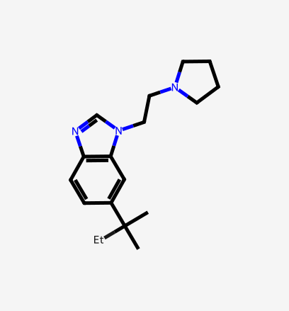 CCC(C)(C)c1ccc2ncn(CCN3CCCC3)c2c1